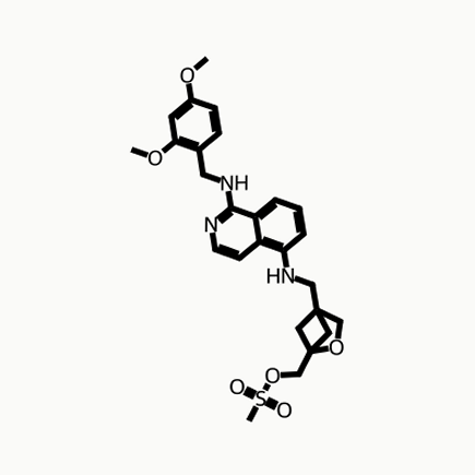 COc1ccc(CNc2nccc3c(NCC45COC(COS(C)(=O)=O)(C4)C5)cccc23)c(OC)c1